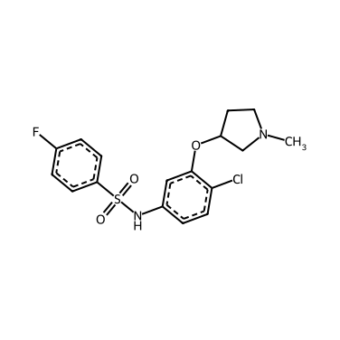 CN1CCC(Oc2cc(NS(=O)(=O)c3ccc(F)cc3)ccc2Cl)C1